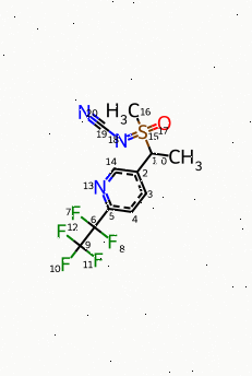 CC(c1ccc(C(F)(F)C(F)(F)F)nc1)S(C)(=O)=NC#N